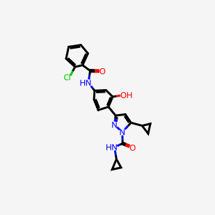 O=C(Nc1ccc(-c2cc(C3CC3)n(C(=O)NC3CC3)n2)c(O)c1)c1ccccc1Cl